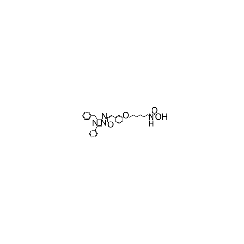 O=C(O)NCCCCCCOc1cccc(C=C2N=C3C(Cc4ccccc4)=NC(c4ccccc4)=CN3C2=O)c1